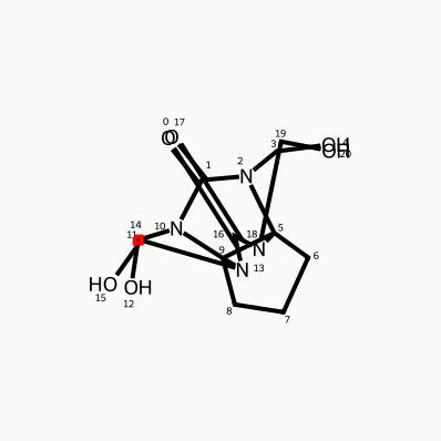 O=C1N(CO)C23CCCC2(N1CO)N(CO)C(=O)N3CO